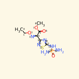 CCON=C(C(=O)OC)c1nsc(NP(N)(N)=O)n1